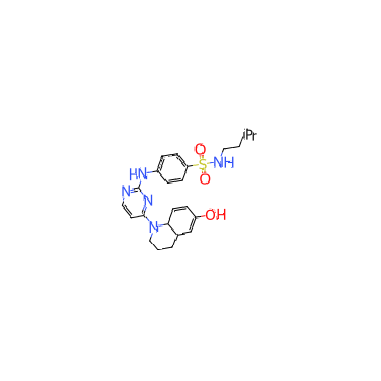 CC(C)CCNS(=O)(=O)c1ccc(Nc2nccc(N3CCCC4C=C(O)C=CC43)n2)cc1